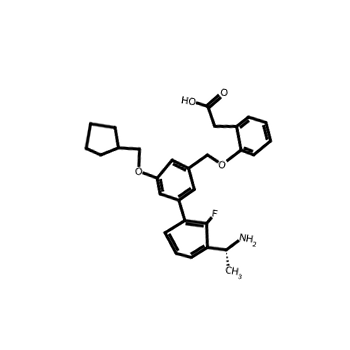 C[C@@H](N)c1cccc(-c2cc(COc3ccccc3CC(=O)O)cc(OCC3CCCC3)c2)c1F